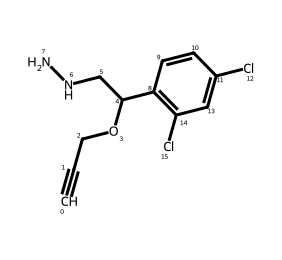 C#CCOC(CNN)c1ccc(Cl)cc1Cl